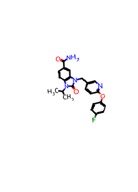 CC(C)n1c(=O)n(Cc2ccc(Oc3ccc(F)cc3)nc2)c2cc(C(N)=O)ccc21